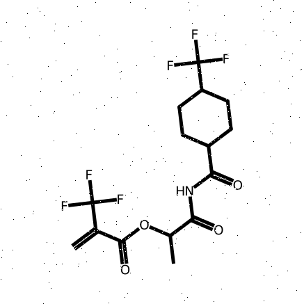 C=C(C(=O)OC(C)C(=O)NC(=O)C1CCC(C(F)(F)F)CC1)C(F)(F)F